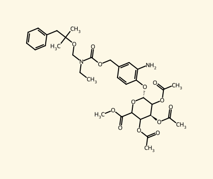 CCN(COC(C)(C)Cc1ccccc1)C(=O)OCc1ccc(O[C@H]2OC(C(=O)OC)C(OC(C)=O)[C@H](OC(C)=O)C2OC(C)=O)c(N)c1